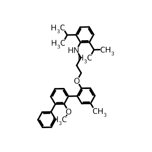 COc1c(-c2ccccc2)cccc1-c1cc(C)ccc1OCCCNc1c(C(C)C)cccc1C(C)C